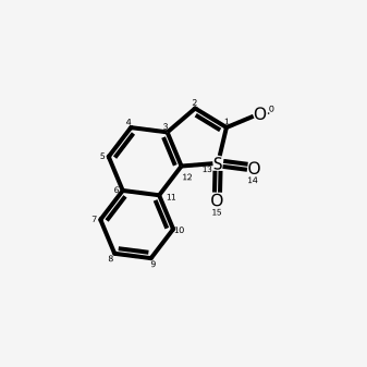 [O]C1=Cc2ccc3ccccc3c2S1(=O)=O